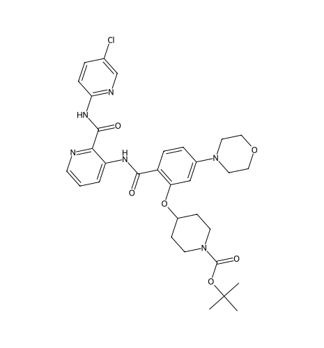 CC(C)(C)OC(=O)N1CCC(Oc2cc(N3CCOCC3)ccc2C(=O)Nc2cccnc2C(=O)Nc2ccc(Cl)cn2)CC1